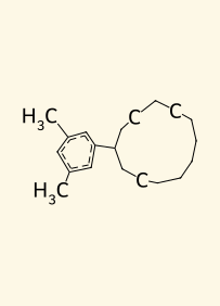 Cc1cc(C)cc(C2CCCCCCCCCCC2)c1